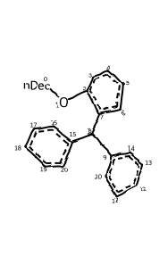 CCCCCCCCCCOc1ccccc1[C](c1ccccc1)c1ccccc1